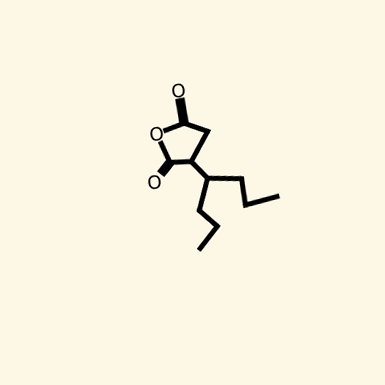 CCCC(CCC)C1CC(=O)OC1=O